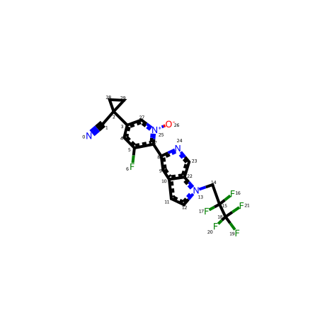 N#CC1(c2cc(F)c(-c3cc4ccn(CC(F)(F)C(F)(F)F)c4cn3)[n+]([O-])c2)CC1